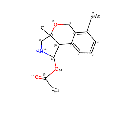 CSc1cccc2c1COC1(C)CNC(OC(=O)C(F)(F)F)C21